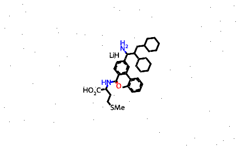 CSCCC(NC(=O)c1ccc(C(N)C(CC2CCCCC2)C2CCCCC2)cc1-c1ccccc1C)C(=O)O.[LiH]